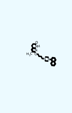 Cc1cc2c(nc1OCCCCN1CCN(c3cccc4ccccc34)CC1)NC(=O)CC2